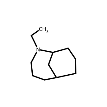 CCN1CCCC2CCCC1C2